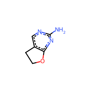 Nc1ncc2c(n1)OCC2